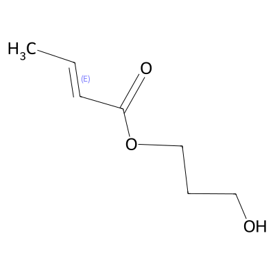 C/C=C/C(=O)OCCCO